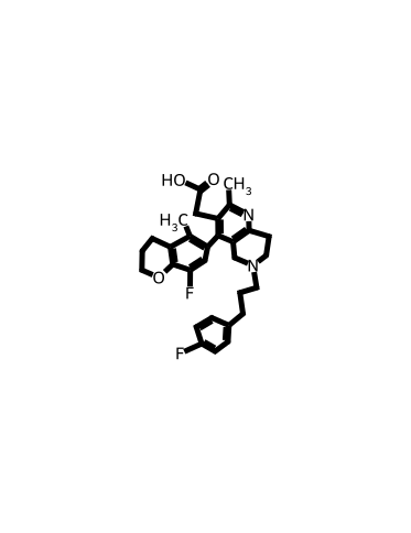 Cc1nc2c(c(-c3cc(F)c4c(c3C)CCCO4)c1CC(=O)O)CN(CCCc1ccc(F)cc1)CC2